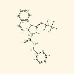 CC(C)(C)[Si](C)(C)O[C@@H]1C[C@@H](/C=C\c2ccncc2)N(C(=O)OCc2ccccc2)C1